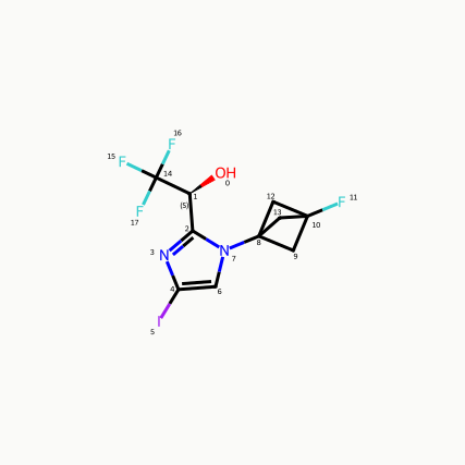 O[C@@H](c1nc(I)cn1C12CC(F)(C1)C2)C(F)(F)F